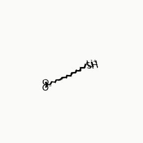 O=C([O-])CCCCCCCCCCCCCCCCS.[Li+]